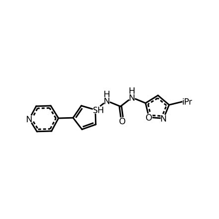 CC(C)c1cc(NC(=O)N[SH]2C=CC(c3ccncc3)=C2)on1